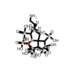 NCCNCC(C(P(=O)(O)O)P(=O)(O)O)(C(P(=O)(O)O)P(=O)(O)O)N(C(P(=O)(O)O)P(=O)(O)O)C(P(=O)(O)O)P(=O)(O)O